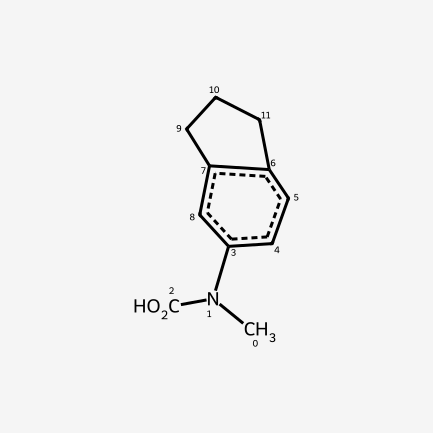 CN(C(=O)O)c1ccc2c(c1)CCC2